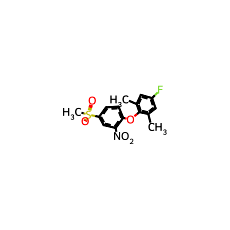 Cc1cc(F)cc(C)c1Oc1ccc(S(C)(=O)=O)cc1[N+](=O)[O-]